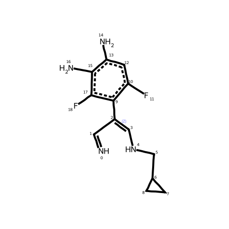 N=C/C(=C\NCC1CC1)c1c(F)cc(N)c(N)c1F